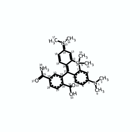 CN(C)c1ccc2c(c1)[Si](C)(C)C1=CC(=[N+](C)C)C=CC1=C2c1cc(C(N)=O)ccc1C(=O)O